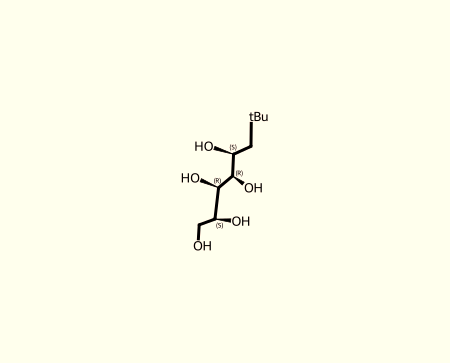 CC(C)(C)C[C@H](O)[C@@H](O)[C@H](O)[C@@H](O)CO